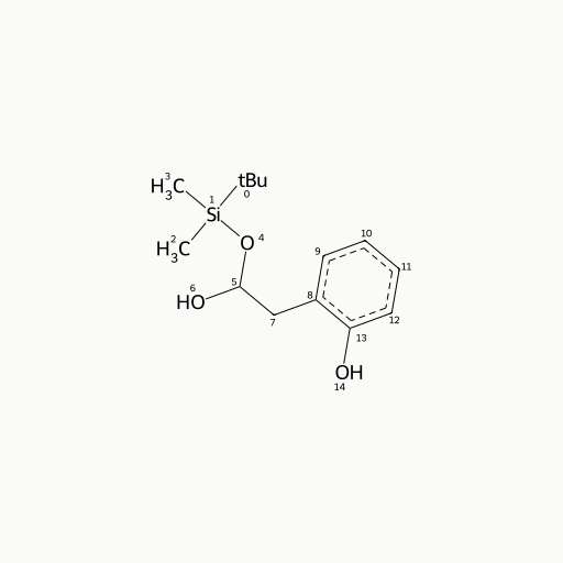 CC(C)(C)[Si](C)(C)OC(O)Cc1ccccc1O